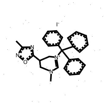 Cc1noc(C2CN(C)C=[N+](C(c3ccccc3)(c3ccccc3)c3ccccc3)C2)n1.[I-]